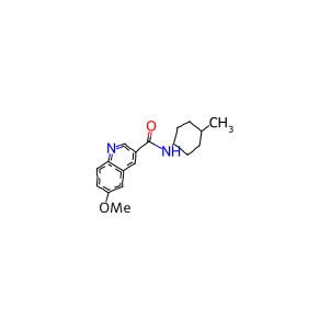 COc1ccc2ncc(C(=O)NC3CCC(C)CC3)cc2c1